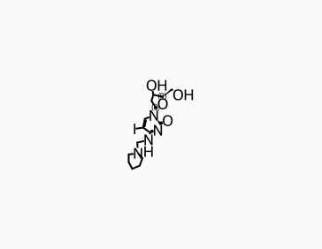 O=c1nc(NCN2CCCCC2)c(I)cn1[C@H]1CC(O)[C@@H](CO)O1